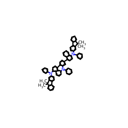 CC1(C)c2ccccc2-c2ccc(N(c3ccccc3)c3ccc(-c4ccc5c(c4)N(c4ccccc4)c4cccc6c(N(c7ccccc7)c7ccc8c(c7)C(C)(C)c7ccccc7-8)ccc-5c46)c4ccccc34)cc21